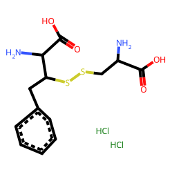 Cl.Cl.NC(CSSC(Cc1ccccc1)C(N)C(=O)O)C(=O)O